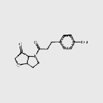 O=C1COC2CCN(C(=O)CCc3ccc(O)cc3)C12